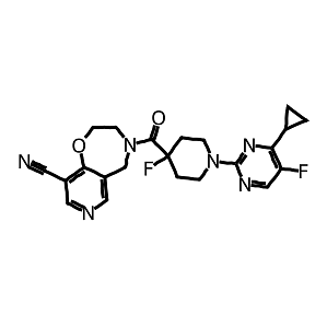 N#Cc1cncc2c1OCCN(C(=O)C1(F)CCN(c3ncc(F)c(C4CC4)n3)CC1)C2